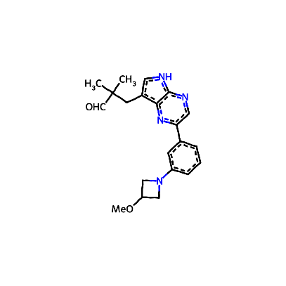 COC1CN(c2cccc(-c3cnc4[nH]cc(CC(C)(C)C=O)c4n3)c2)C1